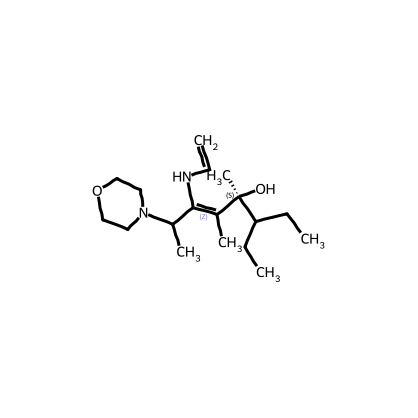 C=CN/C(=C(/C)[C@@](C)(O)C(CC)CC)C(C)N1CCOCC1